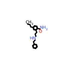 CCCCc1ccc(C(N)=O)c(CCCNCCc2ccccc2)c1